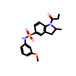 CCC(=O)N1c2ccc(S(=O)(=O)Nc3cccc(OC)c3)cc2CC1C